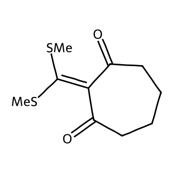 CSC(SC)=C1C(=O)CCCCC1=O